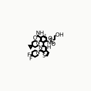 NC(=O)c1ccc(NS(=O)(=O)CCO)c(-c2cc3ccsc3c(N3CCC(F)(F)CC3)n2)c1N1CCC2(CC1)CC2